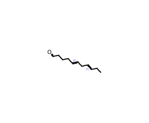 CC/C=C/C/C=C/CCCC=O